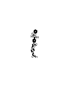 CC(C)OC(=O)CCN1CCN(CC2CN(c3ccc(C(=N)NC(=O)Oc4ccccc4)cc3)C(=O)O2)CC1